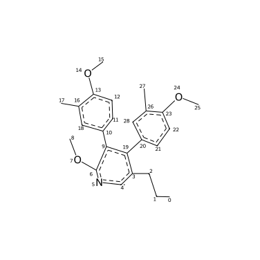 CCCc1[c]nc(OC)c(-c2ccc(OC)c(C)c2)c1-c1ccc(OC)c(C)c1